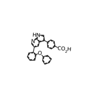 O=C(O)c1ccc(-c2c[nH]c3ncc(-c4ccccc4Oc4ccccc4)cc23)cc1